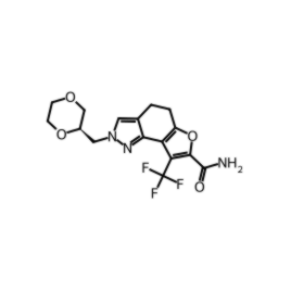 NC(=O)c1oc2c(c1C(F)(F)F)-c1nn(C[C@@H]3COCCO3)cc1CC2